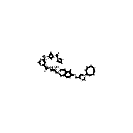 Cc1c(OCC2CN(C3CCCCCCC3)CO2)ccc2c1CCN(C[C@@H](O)CNC(=O)c1cc(N[C@H]3C[C@H](C(=O)N4CCC4)C3)ncn1)C2